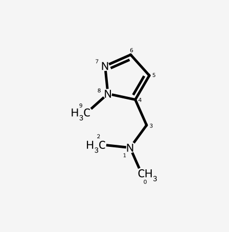 CN(C)Cc1ccnn1C